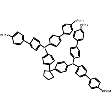 CCCCCCc1ccc(-c2ccc(N(c3ccc(-c4ccc(CCCCC)cc4)cc3)c3ccc(C4(c5ccc(N(c6ccc(-c7ccc(CCCCC)cc7)cc6)c6ccc(-c7ccc(CCCCCC)cc7)cc6)cc5)CCCC4)cc3)cc2)cc1